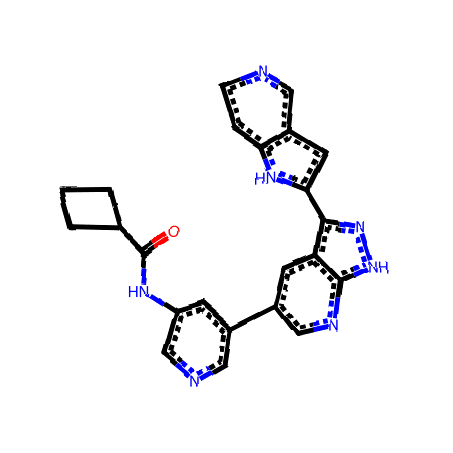 O=C(Nc1cncc(-c2cnc3[nH]nc(-c4cc5cnccc5[nH]4)c3c2)c1)C1CCC1